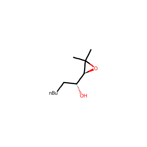 CCCCC[C@@H](O)[C@@H]1OC1(C)C